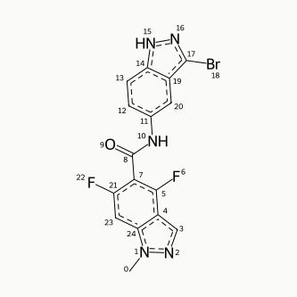 Cn1ncc2c(F)c(C(=O)Nc3ccc4[nH]nc(Br)c4c3)c(F)cc21